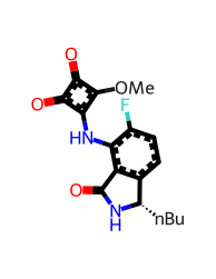 CCCC[C@@H]1NC(=O)c2c1ccc(F)c2Nc1c(OC)c(=O)c1=O